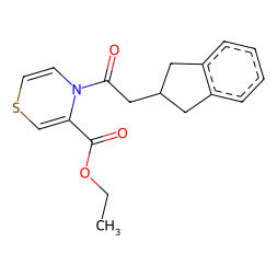 CCOC(=O)C1=CSC=CN1C(=O)CC1Cc2ccccc2C1